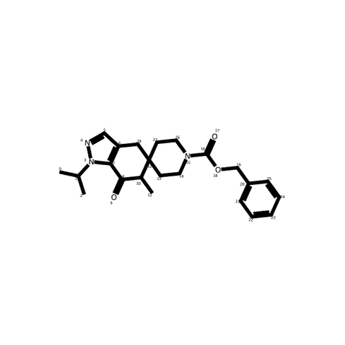 CC(C)n1ncc2c1C(=O)C(C)C1(CCN(C(=O)OCc3ccccc3)CC1)C2